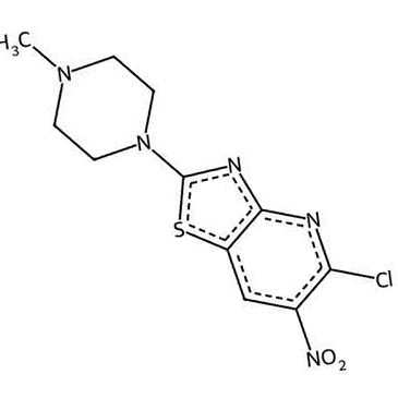 CN1CCN(c2nc3nc(Cl)c([N+](=O)[O-])cc3s2)CC1